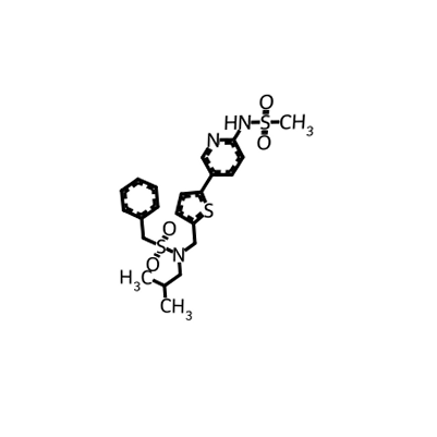 CC(C)CN(Cc1ccc(-c2ccc(NS(C)(=O)=O)nc2)s1)S(=O)(=O)Cc1ccccc1